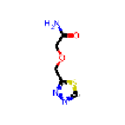 NC(=O)COCc1nn[c]s1